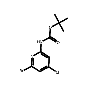 CC(C)(C)OC(=O)Nc1cc(Cl)cc(Br)n1